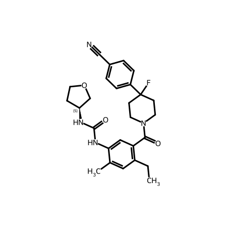 CCc1cc(C)c(NC(=O)N[C@H]2CCOC2)cc1C(=O)N1CCC(F)(c2ccc(C#N)cc2)CC1